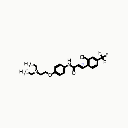 CCN(CC)CCOc1ccc(NC(=O)/C=C/c2ccc(C(F)(F)F)cc2Cl)cc1